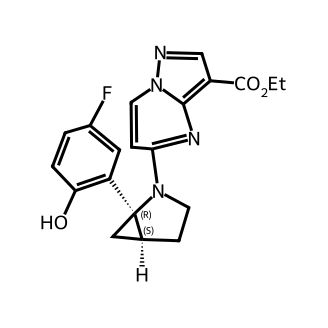 CCOC(=O)c1cnn2ccc(N3CC[C@H]4C[C@]43c3cc(F)ccc3O)nc12